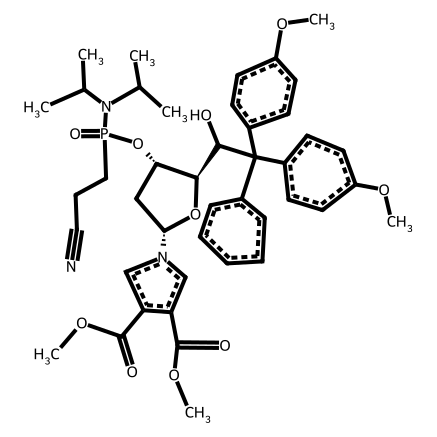 COC(=O)c1cn([C@@H]2C[C@H](OP(=O)(CCC#N)N(C(C)C)C(C)C)[C@@H](C(O)C(c3ccccc3)(c3ccc(OC)cc3)c3ccc(OC)cc3)O2)cc1C(=O)OC